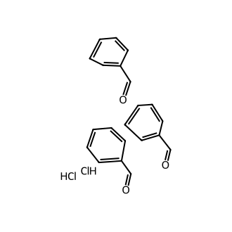 Cl.Cl.O=Cc1ccccc1.O=Cc1ccccc1.O=Cc1ccccc1